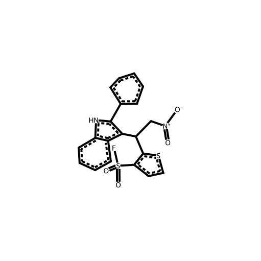 O=[N+]([O-])CC(c1sccc1S(=O)(=O)F)c1c(-c2ccccc2)[nH]c2ccccc12